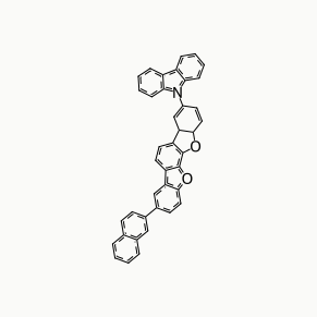 C1=CC2Oc3c(ccc4c3oc3ccc(-c5ccc6ccccc6c5)cc34)C2C=C1n1c2ccccc2c2ccccc21